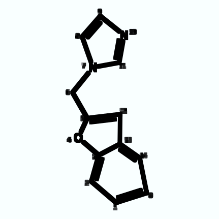 c1ccc2oc(Cn3ccnc3)cc2c1